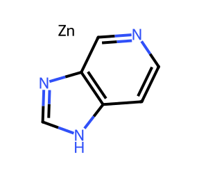 [Zn].c1cc2[nH]cnc2cn1